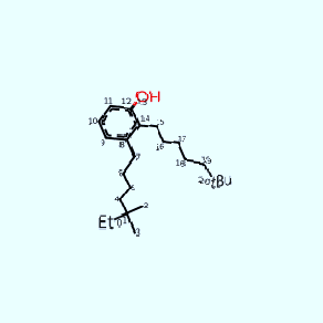 CCC(C)(C)CCCCc1cccc(O)c1CCCCCC(C)(C)C